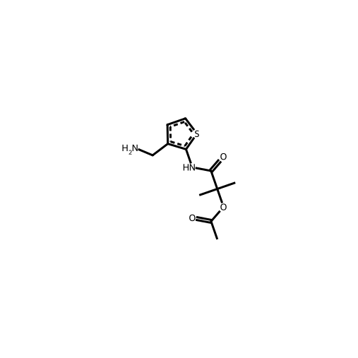 CC(=O)OC(C)(C)C(=O)Nc1sccc1CN